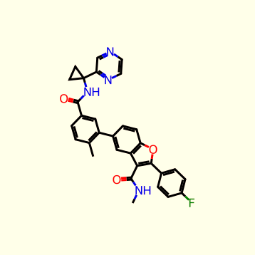 CNC(=O)c1c(-c2ccc(F)cc2)oc2ccc(-c3cc(C(=O)NC4(c5cnccn5)CC4)ccc3C)cc12